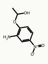 CC(O)Oc1ccc([N+](=O)[O-])cc1N